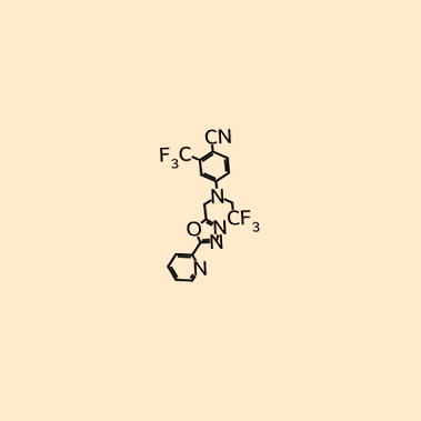 N#Cc1ccc(N(Cc2nnc(-c3ccccn3)o2)CC(F)(F)F)cc1C(F)(F)F